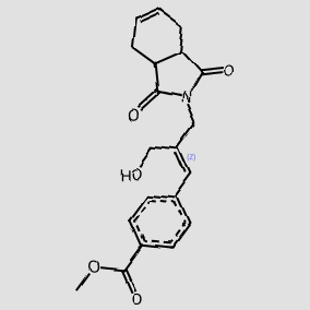 COC(=O)c1ccc(/C=C(\CO)CN2C(=O)C3CC=CCC3C2=O)cc1